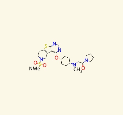 CNS(=O)(=O)N1CCc2sc3ncnc(O[C@H]4CC[C@H](N(C)CC(=O)N5CCCC5)CC4)c3c2C1